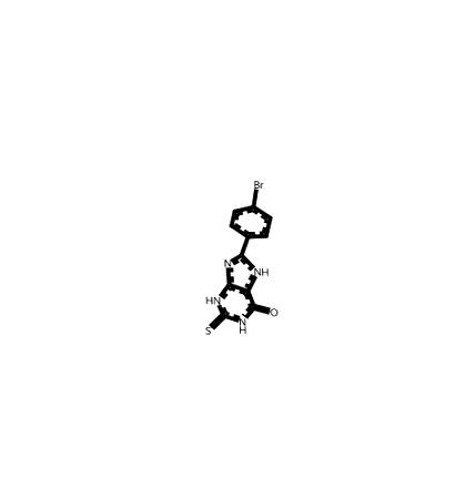 O=c1[nH]c(=S)[nH]c2nc(-c3ccc(Br)cc3)[nH]c12